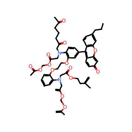 C=C(C)CCOC(=O)CN(CC(=C)OCOC(=C)C)c1ccccc1OCCOc1cc(-c2c3ccc(=O)cc-3oc3cc(CCC)ccc23)ccc1N(CC(=O)CCCC(C)=O)CC(=O)OCOC(C)=O